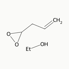 C=CCC1OO1.CCO